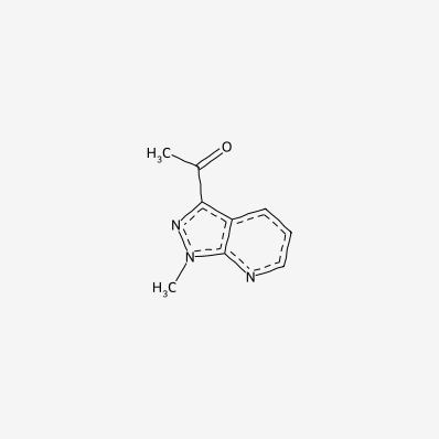 CC(=O)c1nn(C)c2ncccc12